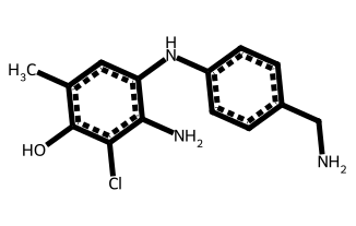 Cc1cc(Nc2ccc(CN)cc2)c(N)c(Cl)c1O